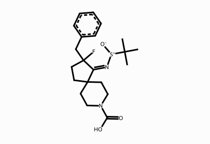 CC(C)(C)[S+]([O-])/N=C1\C(F)(Cc2ccccc2)CCC12CCN(C(=O)O)CC2